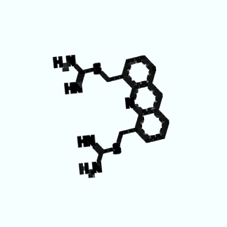 N=C(N)SCc1cccc2cc3cccc(CSC(=N)N)c3nc12